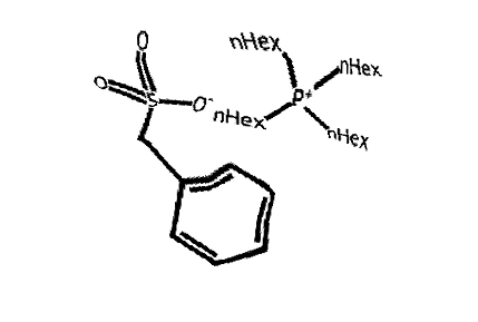 CCCCCC[P+](CCCCCC)(CCCCCC)CCCCCC.O=S(=O)([O-])Cc1ccccc1